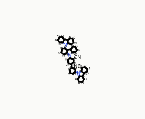 N#Cc1cc(-c2cccc(-n3c4ccccc4c4cccc(C#N)c43)c2)ccc1-n1c2ccccc2c2c(-n3c4ccccc4c4ccccc43)cccc21